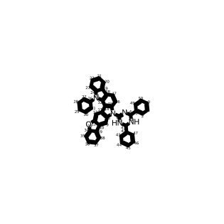 c1ccc(C2N=C(n3c4cc5c(cc4c4c3ccc3c6ccccc6n(-c6ccccc6)c34)oc3ccccc35)NC(c3ccccc3)N2)cc1